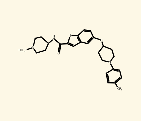 O=C(NC1CCN(C(=O)O)CC1)c1cc2cc(OC3CCN(c4ccc(C(F)(F)F)cc4)CC3)ccc2s1